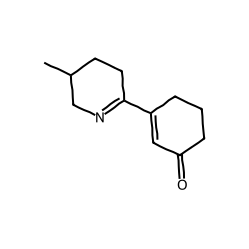 CC1CCC(C2=CC(=O)CCC2)=NC1